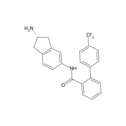 N[C@H]1Cc2ccc(NC(=O)c3ccccc3-c3ccc(C(F)(F)F)cc3)cc2C1